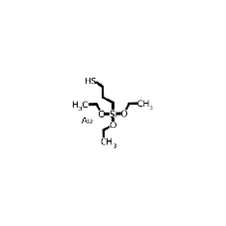 CCO[Si](CCCS)(OCC)OCC.[Au]